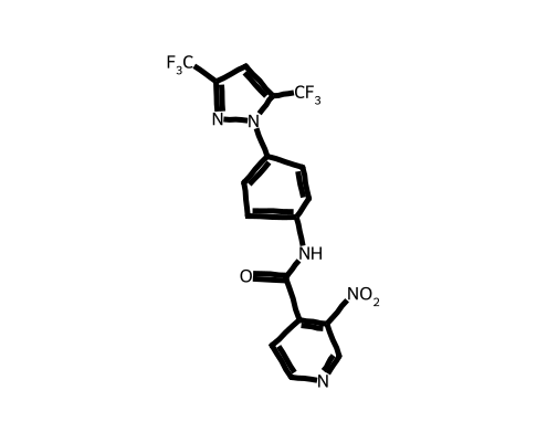 O=C(Nc1ccc(-n2nc(C(F)(F)F)cc2C(F)(F)F)cc1)c1ccncc1[N+](=O)[O-]